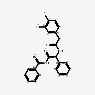 N=C(NC(=O)C(NC(=O)Cc1ccc(Cl)c(Cl)c1)c1ccccc1)c1ccccc1